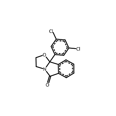 O=C1c2ccccc2C2(c3cc(Cl)cc(Cl)c3)OCCN12